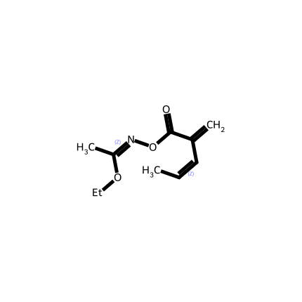 C=C(/C=C\C)C(=O)O/N=C(/C)OCC